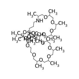 COCCOCC(C)OCC(C)OCC(C)OCC(C)OCC(C)OCC(C)OCC(C)OCC(C)OCC(C)NCCC[Si](C)(O[Si](C)(C)C)O[Si](C)(C)C